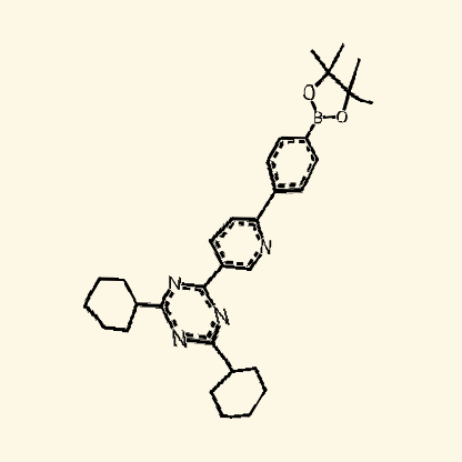 CC1(C)OB(c2ccc(-c3ccc(-c4nc(C5CCCCC5)nc(C5CCCCC5)n4)cn3)cc2)OC1(C)C